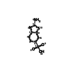 Nc1nc2ccc(S(=O)(=O)O)cc2s1